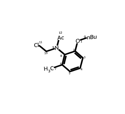 CCCCOc1cccc(C)c1N(CCl)C(C)=O